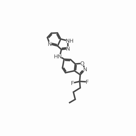 CCCCC(F)(F)c1noc2cc(Nc3n[nH]c4cccnc34)ccc12